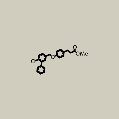 COC(=O)CCc1ccc(OCc2ccc(Cl)c(-c3ccccc3)c2)cc1